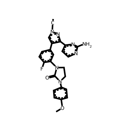 CCn1cc(-c2ccc(F)c(N3CCN(c4ccc(OC)cc4)C3=O)c2)c(-c2ccnc(N)n2)n1